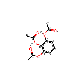 CC(=O)Oc1[c]ccc(OC(C)=O)c1OC(C)=O